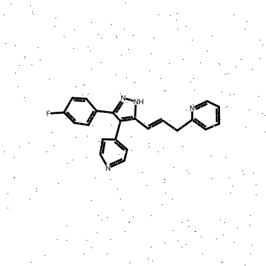 Fc1ccc(-c2n[nH]c(/C=C/Cc3ccccn3)c2-c2ccncc2)cc1